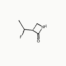 CC(F)C1CNC1=O